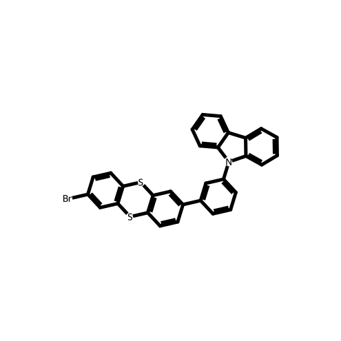 Brc1ccc2c(c1)Sc1ccc(-c3cccc(-n4c5ccccc5c5ccccc54)c3)cc1S2